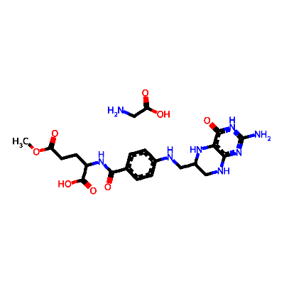 COC(=O)CCC(NC(=O)c1ccc(NCC2CNc3nc(N)[nH]c(=O)c3N2)cc1)C(=O)O.NCC(=O)O